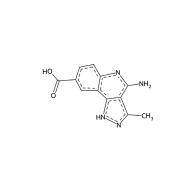 Cc1n[nH]c2c1c(N)nc1ccc(C(=O)O)cc12